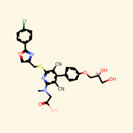 BC(=O)CN(C)c1nc(SCc2coc(-c3ccc(Cl)cc3)n2)c(C#N)c(-c2ccc(OC[C@@H](O)CO)cc2)c1C#N